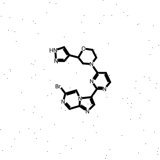 Brc1cn2c(-c3nccc(N4CCOC(c5cn[nH]c5)C4)n3)cnc2cn1